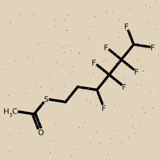 CC(=O)SCCC(F)C(F)(F)C(F)(F)C(F)F